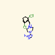 Clc1cccc(Cl)c1CN1CCN(c2ncn[nH]2)CC1